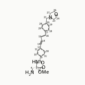 COC(=O)[C@H](CN)NC(=O)c1ccc(C#CC=Cc2ccc(CN3CCOCC3)cc2)cc1